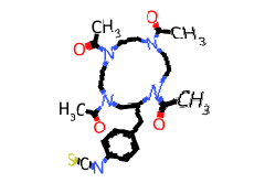 CC(=O)N1CCN(C(C)=O)CCN(C(C)=O)C(Cc2ccc(N=C=S)cc2)CN(C(C)=O)CC1